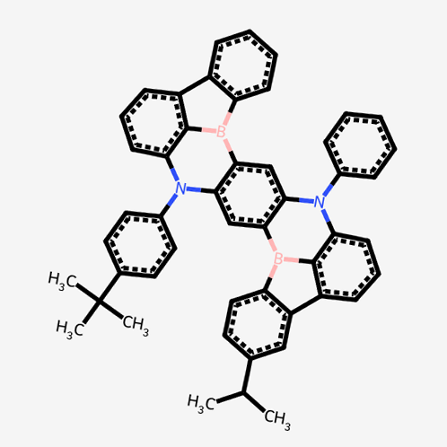 CC(C)c1ccc2c(c1)-c1cccc3c1B2c1cc2c(cc1N3c1ccccc1)B1c3ccccc3-c3cccc(c31)N2c1ccc(C(C)(C)C)cc1